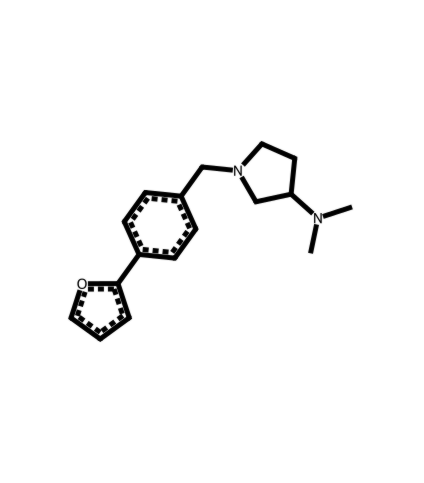 CN(C)C1CCN(Cc2ccc(-c3ccco3)cc2)C1